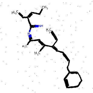 C=C/C(=C/CC)C(=N)\N=C(C)/C=C(C)/C(C=C)=C/C=C\CC1=CCCC=C1